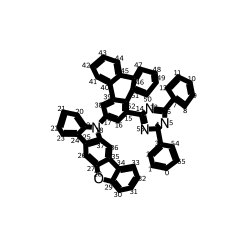 c1ccc(-c2nc(-c3ccccc3)nc(-c3cc(-n4c5ccccc5c5cc6oc7ccccc7c6cc54)cc4c5ccccc5c5ccccc5c34)n2)cc1